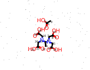 CC(=O)O.CC(N(CC(=O)O)CC(=O)O)N(CC(=O)O)CC(=O)O